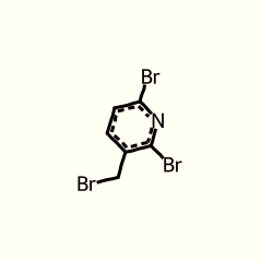 BrCc1ccc(Br)nc1Br